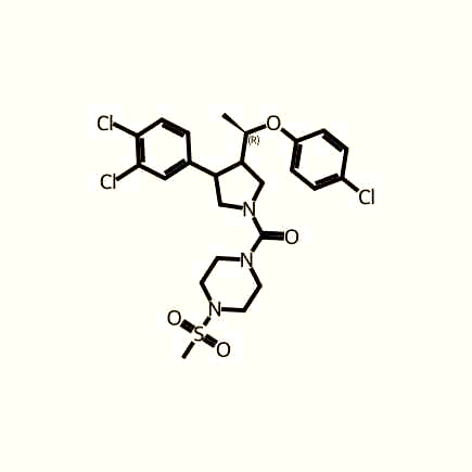 C[C@@H](Oc1ccc(Cl)cc1)C1CN(C(=O)N2CCN(S(C)(=O)=O)CC2)CC1c1ccc(Cl)c(Cl)c1